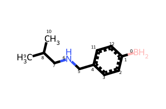 Bc1ccc(CNCC(C)C)cc1